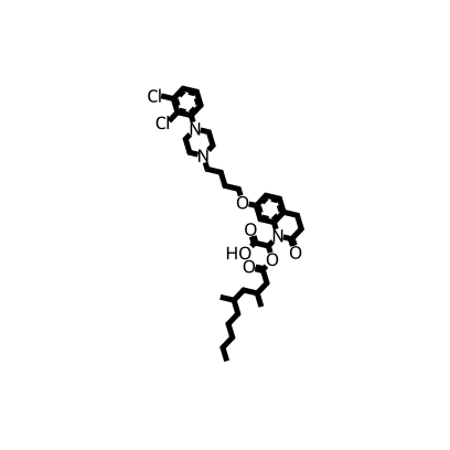 CCCCCC(C)CC(C)CC(=O)OC(C(=O)O)N1C(=O)CCc2ccc(OCCCCN3CCN(c4cccc(Cl)c4Cl)CC3)cc21